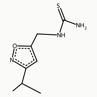 CC(C)c1cc(CNC(N)=S)on1